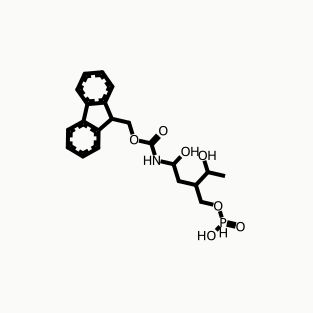 CC(O)C(CO[PH](=O)O)CC(O)NC(=O)OCC1c2ccccc2-c2ccccc21